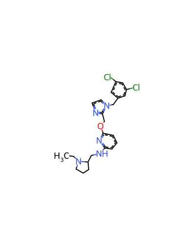 CCN1CCCC1CNc1cccc(OCc2nccn2Cc2cc(Cl)cc(Cl)c2)n1